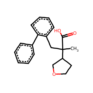 CC(Cc1ccccc1-c1ccccc1)(C(=O)O)C1CCOC1